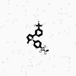 CNS(=O)(=O)c1ccc(-n2c(C)ccc2-c2cccc(C(F)(F)F)c2)cc1